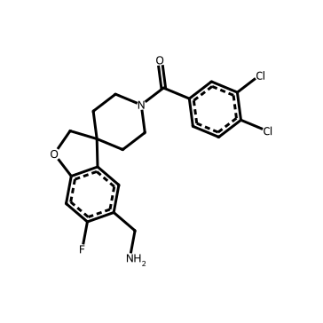 NCc1cc2c(cc1F)OCC21CCN(C(=O)c2ccc(Cl)c(Cl)c2)CC1